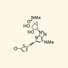 CNC(=O)[C@]12CC1[C@@H](n1cnc3c(NC)cc(C#Cc4ccc(Cl)s4)nc31)C(O)[C@@H]2O